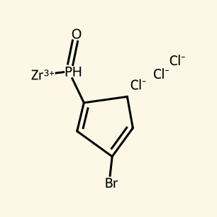 O=[PH]([Zr+3])C1=CC(Br)=CC1.[Cl-].[Cl-].[Cl-]